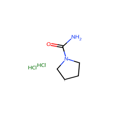 Cl.Cl.NC(=O)N1C[CH]CC1